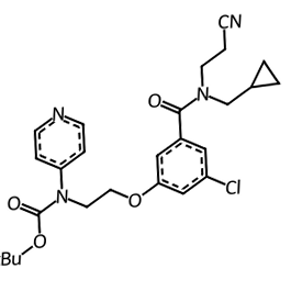 CC(C)(C)OC(=O)N(CCOc1cc(Cl)cc(C(=O)N(CCC#N)CC2CC2)c1)c1ccncc1